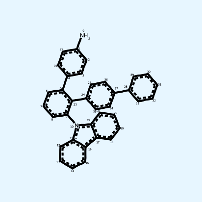 Nc1ccc(-c2cccc(-n3c4ccccc4c4ccccc43)c2-c2ccc(-c3ccccc3)cc2)cc1